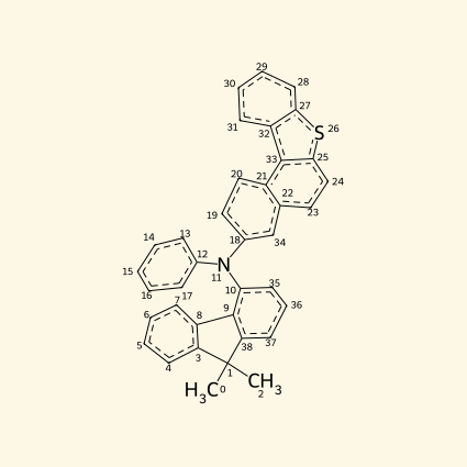 CC1(C)c2ccccc2-c2c(N(c3ccccc3)c3ccc4c(ccc5sc6ccccc6c54)c3)cccc21